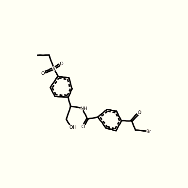 CCS(=O)(=O)c1ccc(C(CO)NC(=O)c2ccc(C(=O)CBr)cc2)cc1